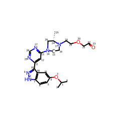 CC(C)Oc1ccc2[nH]nc(-c3cc(N4CCN(CCOCC=O)[C@@H](C)C4)ncn3)c2c1